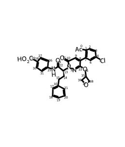 CC(=O)c1ccc(Cl)cc1-c1cc(=O)n([C@@H](CCc2ccccc2)C(=O)Nc2ccc(C(=O)O)cc2)nc1OC1COC1